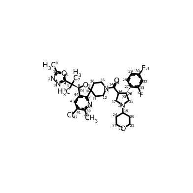 Cc1nnc(C(C)(C)[C@H]2OC3(CCN(C(=O)C4CN(C5CCOCC5)C[C@H]4c4ccc(F)cc4F)CC3)c3nc(C)c(Cl)cc32)o1